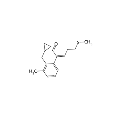 CSCC/C=C(\C=O)c1cccc(C)c1CC1CC1